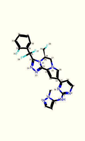 Cn1nccc1Nc1nccc(-c2cc3n(c2)C[C@H](CF)n2c-3nnc2C(F)(F)c2ccccc2F)n1